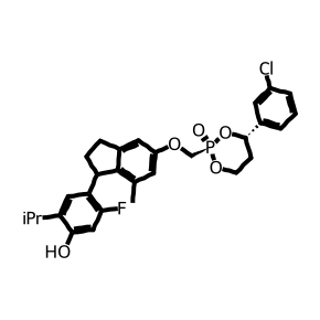 Cc1cc(OC[P@]2(=O)OCC[C@@H](c3cccc(Cl)c3)O2)cc2c1C(c1cc(C(C)C)c(O)cc1F)CC2